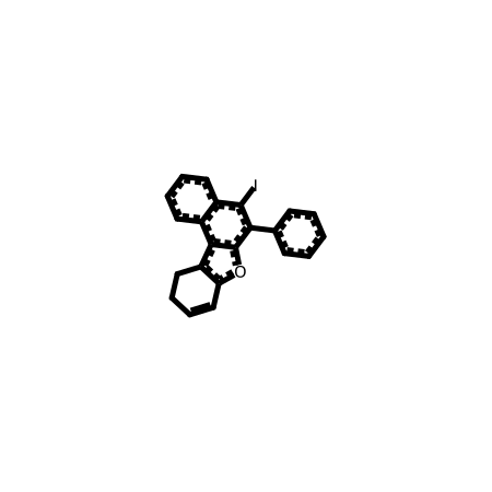 Ic1c(-c2ccccc2)c2oc3c(c2c2ccccc12)CCC=C3